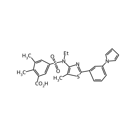 CCN(c1nc(-c2cccc(-n3cccc3)c2)sc1C)S(=O)(=O)c1cc(C)c(C)c(C(=O)O)c1